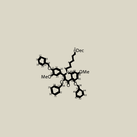 CCCCCCCCCCCCCCCCn1c(-c2ccc(OCc3ccccc3)c(OC)c2)c(OCc2ccccc2)c(=O)c2c(OCc3ccccc3)cc(OC)cc21